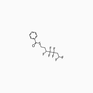 O=C(SCCC(F)C(F)(F)C(F)(F)CC(F)F)c1ccccc1